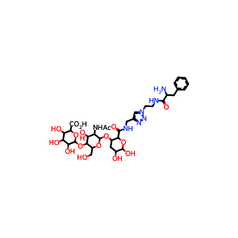 CC(=O)NC1C(OC2CC(O)C(O)OC2C(=O)NCc2cn(CCNC(=O)C(N)Cc3ccccc3)nn2)OC(CO)C(OC2OC(C(=O)O)C(O)C(O)C2O)C1O